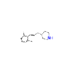 Cc1cccc(C)c1C=CCC1CCNCC1